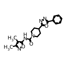 Cc1noc(NC(=O)N2CCC(c3nnc(-c4ccccc4)o3)CC2)c1C